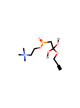 C#CCOC(C[PH](=O)OCC[N+](C)(C)C)(OCC)OCC